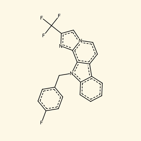 Fc1ccc(Cn2c3ccccc3c3ccn4cc(C(F)(F)F)nc4c32)cc1